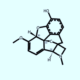 COC1=CC=C2[C@@H]3N(C)CC34Cc3ccc(O)c5c3[C@@]2(C4)[C@H]1O5